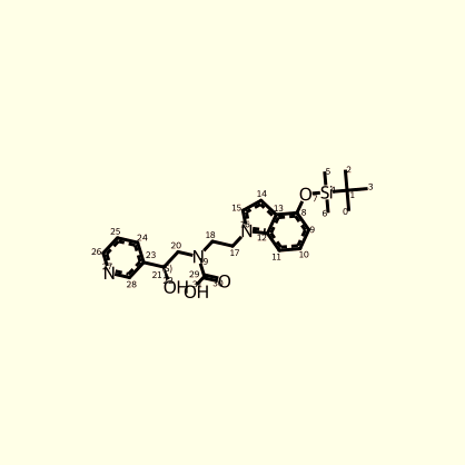 CC(C)(C)[Si](C)(C)Oc1cccc2c1ccn2CCN(C[C@@H](O)c1cccnc1)C(=O)O